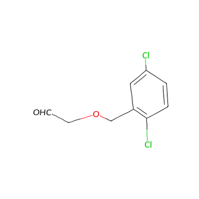 O=CCOCc1cc(Cl)ccc1Cl